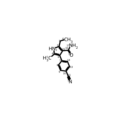 CCc1[nH]c(C)c(-c2ccc(C#N)cc2)c1C(N)=O